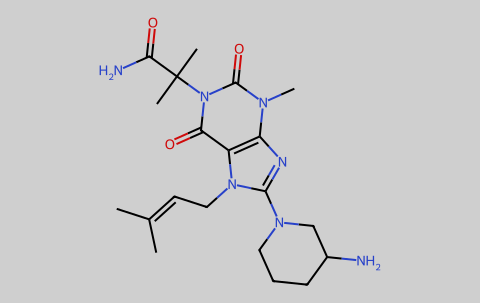 CC(C)=CCn1c(N2CCCC(N)C2)nc2c1c(=O)n(C(C)(C)C(N)=O)c(=O)n2C